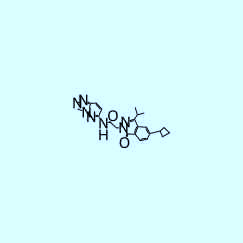 CC(C)c1nn(CC(=O)Nc2ccc3nncn3n2)c(=O)c2ccc(C3CCC3)cc12